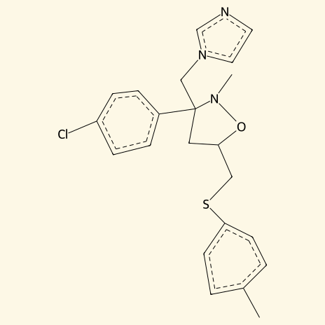 Cc1ccc(SCC2CC(Cn3ccnc3)(c3ccc(Cl)cc3)N(C)O2)cc1